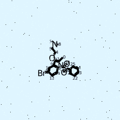 Cc1c(OCCN(C)C)c2cc(Br)ccc2n1S(=O)(=O)c1ccccc1